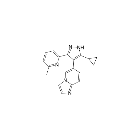 Cc1cccc(-c2n[nH]c(C3CC3)c2-c2ccc3nccn3c2)n1